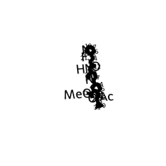 COC(=O)c1cc(-c2ccc(NC(=O)CCc3cccnc3F)cn2)ccc1N(CC1CC1)C(C)=O